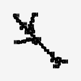 O=C(CCC(NC(=O)CCC(NC(=O)CCCCCCCCCCNC(=O)C1CCC(O)C(CO)O1)C(=O)NCCOCCO)C(=O)NCCOCCO)NCCOCCO